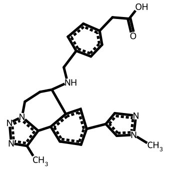 Cc1nnn2c1-c1ccc(-c3cnn(C)c3)cc1C(NCc1ccc(CC(=O)O)cc1)CC2